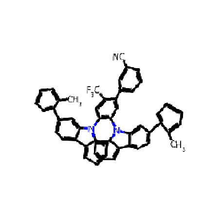 Cc1ccccc1-c1ccc2c3ccccc3n(-c3cc(-c4cccc(C#N)c4)c(C(F)(F)F)cc3-n3c4ccccc4c4ccc(-c5ccccc5C)cc43)c2c1